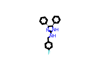 Fc1ccc(CNC2=N[C@H](c3ccccc3)[C@@H](c3ccccc3)N2)cc1